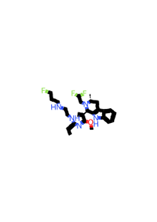 C=C(/C(=N\C(=C/C)NCCNCCCF)OC)[C@@H]1c2[nH]c3ccccc3c2C[C@@H](C)N1CC(F)F